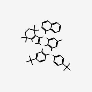 Cc1cc2c3c(c1)N(c1cccc4ccccc14)c1c(sc4c1C(C)(C)CCC4(C)C)B3c1cc(C(C)(C)C)ccc1N2c1ccc(C(C)(C)C)cc1